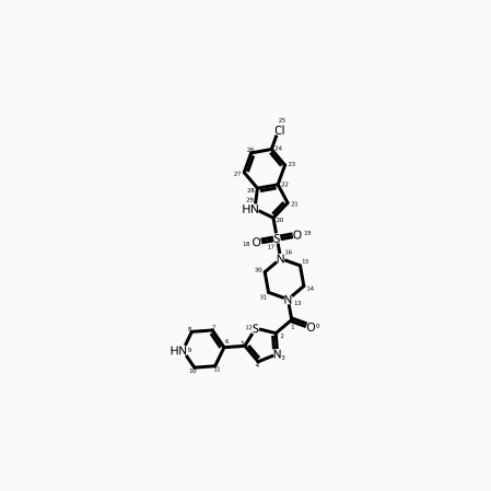 O=C(c1ncc(C2=CCNCC2)s1)N1CCN(S(=O)(=O)c2cc3cc(Cl)ccc3[nH]2)CC1